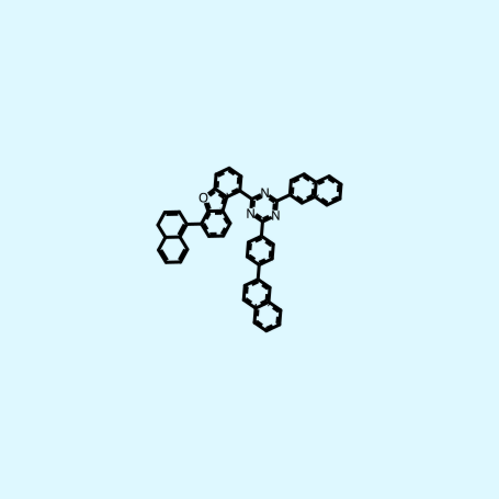 C1=CC2=C(c3cccc4c3oc3cccc(-c5nc(-c6ccc(-c7ccc8ccccc8c7)cc6)nc(-c6ccc7ccccc7c6)n5)c34)C=CCC2C=C1